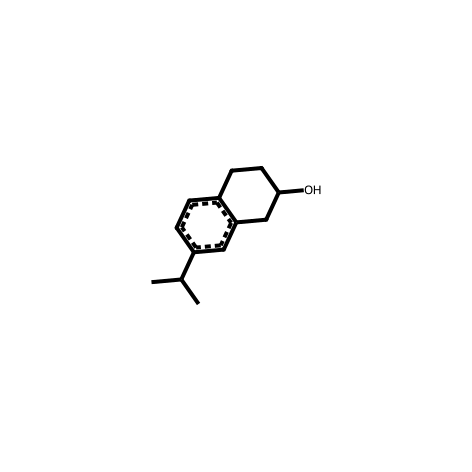 CC(C)c1ccc2c(c1)CC(O)CC2